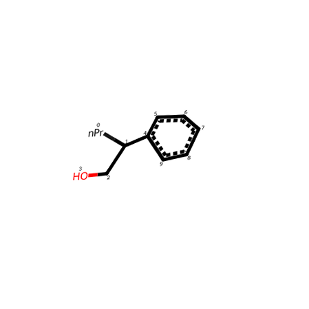 CCCC(CO)c1ccccc1